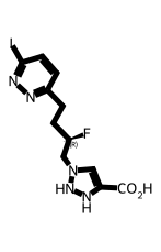 O=C(O)C1=CN(C[C@H](F)CCc2ccc(I)nn2)NN1